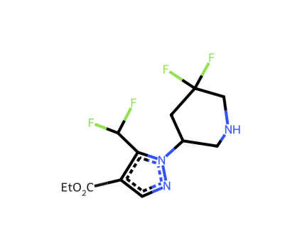 CCOC(=O)c1cnn(C2CNCC(F)(F)C2)c1C(F)F